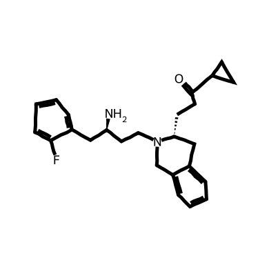 N[C@@H](CCN1Cc2ccccc2C[C@H]1CCC(=O)C1CC1)Cc1ccccc1F